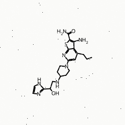 CCCc1cc(N2CCC(NCC(O)c3ncc[nH]3)CC2)nc2sc(C(N)=O)c(N)c12